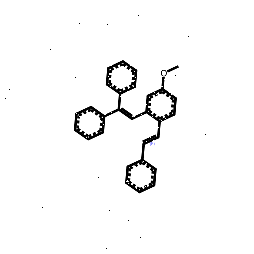 COc1ccc(/C=C/c2ccccc2)c(C=C(c2ccccc2)c2ccccc2)c1